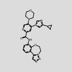 O=C(Nc1cccc2c1OCCn1nncc1-2)c1cc(-n2cnc(C3CC3)c2)c(N2CCOCC2)cn1